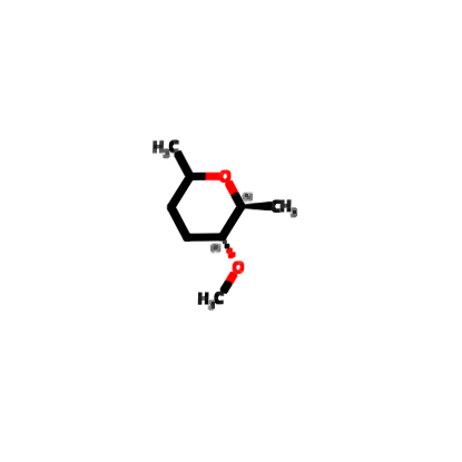 CO[C@@H]1CCC(C)O[C@H]1C